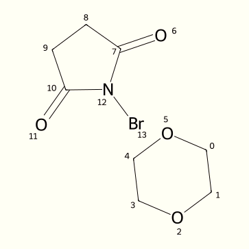 C1COCCO1.O=C1CCC(=O)N1Br